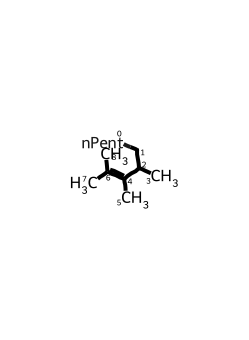 CCCCCCC(C)C(C)=C(C)C